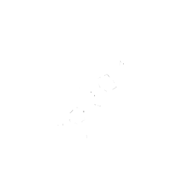 CCCN(C(=O)c1cc(C(C)C)c(O)cc1O)c1ccc(CN2CCOCC2)cc1